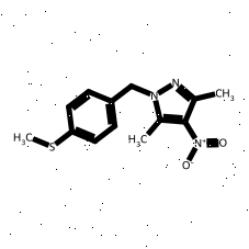 CSc1ccc(Cn2nc(C)c([N+](=O)[O-])c2C)cc1